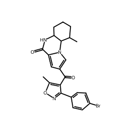 Cc1onc(-c2ccc(Br)cc2)c1C(=O)c1cc2n(c1)C1C(C)CCCC1NC2=O